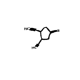 C#CC1CC(=S)CC1C#C